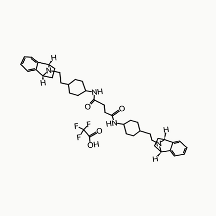 O=C(CCC(=O)NC1CCC(CCN2[C@@H]3CC[C@H]2c2ccccc23)CC1)NC1CCC(CCN2[C@@H]3CC[C@H]2c2ccccc23)CC1.O=C(O)C(F)(F)F